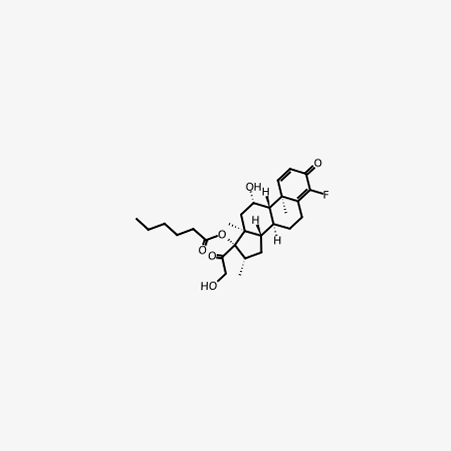 CCCCCC(=O)O[C@@]1(C(=O)CO)[C@@H](C)C[C@H]2[C@@H]3CCC4=C(F)C(=O)C=C[C@]4(C)[C@H]3[C@@H](O)C[C@@]21C